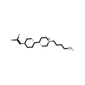 CCCCC[Si@H]1CC[C@H]([C@H]2CC[C@H](C=C(F)F)CC2)CC1